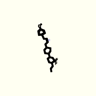 CCCC1CCC(C2CCC(C/C=C\Cc3ccc(OC)cc3)CC2)CC1(F)F